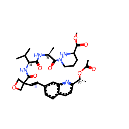 COC(=O)C1CCCN(C(=O)[C@H](C)NC(=O)[C@@H](NC(=O)C2(/C=C/c3ccc4ccc([C@@H](C)OC(C)=O)nc4c3)COC2)C(C)C)N1